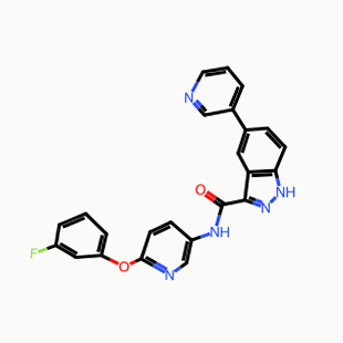 O=C(Nc1ccc(Oc2cccc(F)c2)nc1)c1n[nH]c2ccc(-c3cccnc3)cc12